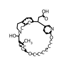 Cc1cc2ccc1C(O)N1CCc3ccc(cc3C1)C(CC(=O)O)c1ccc(nc1)OCCCCCCO2